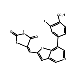 O=C1NC(=S)SC1=Cc1cc2cncc(-c3ccc(C(=O)O)c(F)c3)c2o1